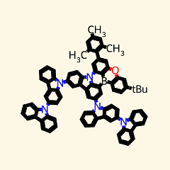 Cc1cc(C)c(-c2cc3c4c(c2)-n2c5ccc(-n6c7ccccc7c7cc(-n8c9ccccc9c9ccccc98)ccc76)cc5c5cc(-n6c7ccccc7c7cc(-n8c9ccccc9c9ccccc98)ccc76)cc(c52)B4c2ccc(C(C)(C)C)cc2O3)c(C)c1